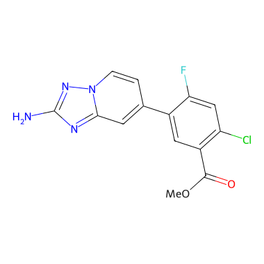 COC(=O)c1cc(-c2ccn3nc(N)nc3c2)c(F)cc1Cl